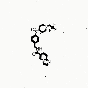 O=C(NCc1ccc([S+]([O-])C2CCN(CC(F)(F)F)CC2)cc1)c1ccc2nccn2c1